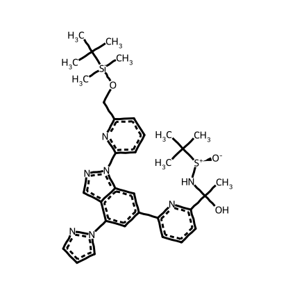 CC(O)(N[S@+]([O-])C(C)(C)C)c1cccc(-c2cc(-n3cccn3)c3cnn(-c4cccc(CO[Si](C)(C)C(C)(C)C)n4)c3c2)n1